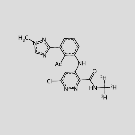 [2H]C([2H])([2H])NC(=O)c1nnc(Cl)cc1Nc1cccc(-c2ncn(C)n2)c1C(C)=O